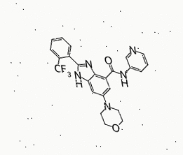 O=C(Nc1cccnc1)c1cc(N2CCOCC2)cc2[nH]c(-c3ccccc3C(F)(F)F)nc12